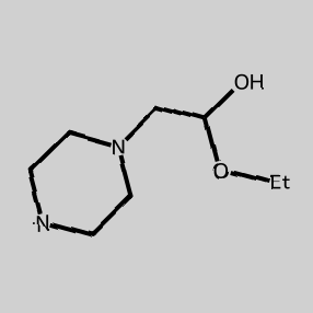 CCOC(O)CN1CC[N]CC1